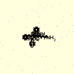 NCCCCC(N)C(=O)C(=CC(=O)C(Cc1ccccc1)NC(=O)N1CCOCC1)S(=O)(=O)c1ccccc1